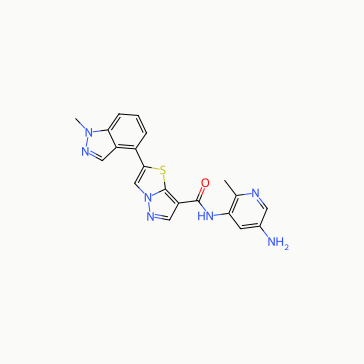 Cc1ncc(N)cc1NC(=O)c1cnn2cc(-c3cccc4c3cnn4C)sc12